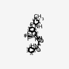 CN1CC[C@H](Nc2cccc3c2cc(-c2noc(CNC(=O)c4ccccc4)n2)n3CC(F)(F)F)[C@H](F)C1